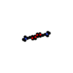 c1ccc2c(c1)-c1ccccc1C21c2cc(-c3ccc(-c4ccc5c(c4)c4ccccc4n5-c4cccc5ccccc45)cc3)ccc2-c2ccc(-c3ccc4c(c3)C3(c5ccccc5-c5ccccc53)c3cc(-c5ccc(-c6ccc7c(c6)c6ccccc6n7-c6cccc7ccccc67)cc5)ccc3-4)cc21